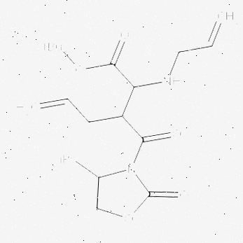 C=CCNC(C(=O)OC(C)(C)C)C(CC=C)C(=O)N1C(=O)OCC1C(C)C